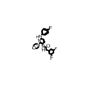 O=C(Cc1cc(F)cc(F)c1)Nc1ccc(Nc2ccc(F)cc2)nc1N1CCOCC1